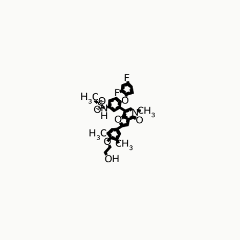 CCS(=O)(=O)Nc1ccc(Oc2ccc(F)cc2F)c(-c2cn(C)c(=O)c3cc(-c4cc(C)c(OCCO)c(C)c4)oc23)c1